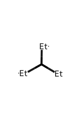 C[CH]C([CH]C)CC